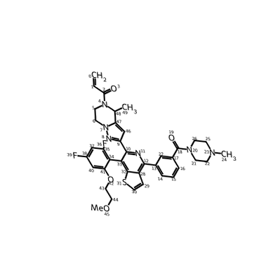 C=CC(=O)N1CCn2nc(-c3nc(-c4cccc(C(=O)N5CCN(C)CC5)c4)c4ccsc4c3-c3c(F)cc(F)cc3OCCOC)cc2C1C